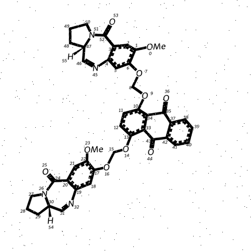 COc1cc2c(cc1OCOc1ccc(OCOc3cc4c(cc3OC)C(=O)N3CCC[C@H]3C=N4)c3c1C(=O)c1ccccc1C3=O)N=C[C@@H]1CCCN1C2=O